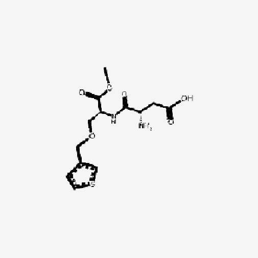 COC(=O)[C@H](COCc1ccsc1)NC(=O)[C@@H](N)CC(=O)O